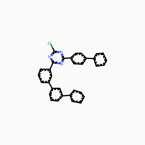 Clc1nc(-c2ccc(-c3ccccc3)cc2)nc(-c2cccc(-c3cccc(-c4ccccc4)c3)c2)n1